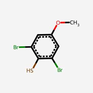 COc1cc(Br)c(S)c(Br)c1